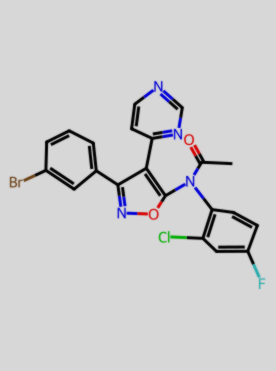 CC(=O)N(c1ccc(F)cc1Cl)c1onc(-c2cccc(Br)c2)c1-c1ccncn1